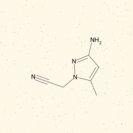 Cc1cc(N)nn1CC#N